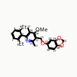 CCc1cccc(CC)c1-c1nc(C)c(COc2ccc3c(c2)OCO3)c(OC)c1C